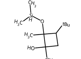 C[SiH](C)OC1(C)C(C(C)(C)C)CC1(O)O